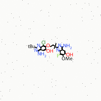 COc1c(O)cc2c(N)nc(C(C)(C)CCOc3c(O)cc4c(N)nc(C(C)(C)C)nc4c3Cl)nc2c1F